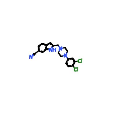 N#Cc1ccc2cc(CN3CCN(c4ccc(Cl)c(Cl)c4)CC3)[nH]c2c1